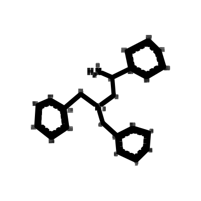 NC(CN(Cc1ccccc1)Cc1ccccc1)c1ccccc1